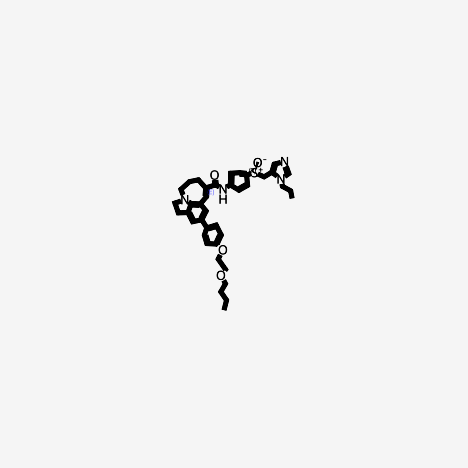 CCCCOCCOc1ccc(-c2cc3c4c(c2)CCN4CCC/C(C(=O)Nc2ccc([S@@+]([O-])Cc4cncn4CCC)cc2)=C\3)cc1